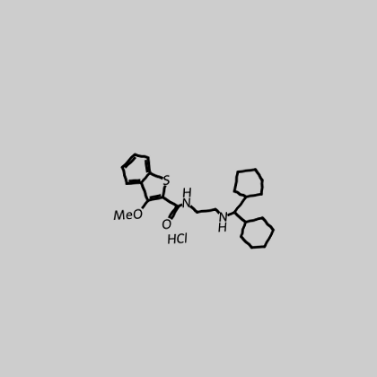 COc1c(C(=O)NCCNC(C2CCCCC2)C2CCCCC2)sc2ccccc12.Cl